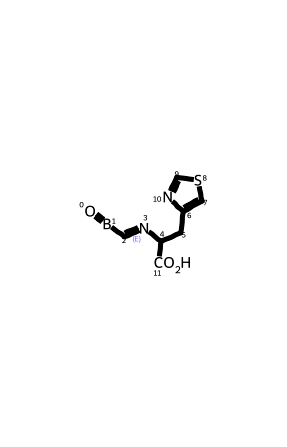 O=B/C=N/C(Cc1cscn1)C(=O)O